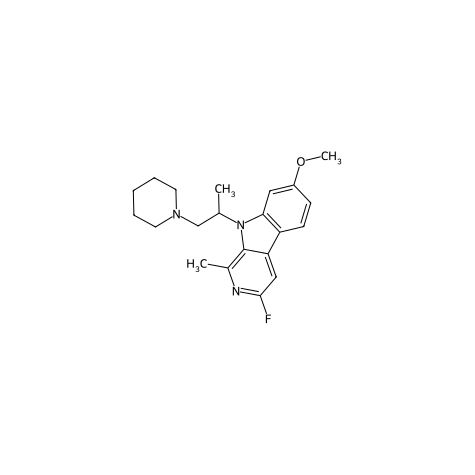 COc1ccc2c3cc(F)nc(C)c3n(C(C)CN3CCCCC3)c2c1